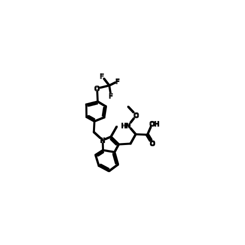 CONC(Cc1c(C)n(Cc2ccc(OC(F)(F)F)cc2)c2ccccc12)C(=O)O